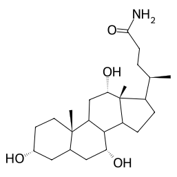 C[C@H](CCC(N)=O)C1CCC2C3C(C[C@H](O)[C@@]21C)[C@@]1(C)CC[C@@H](O)CC1C[C@H]3O